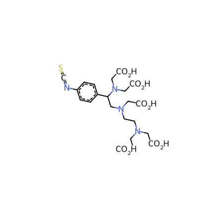 O=C(O)CN(CCN(CC(=O)O)CC(c1ccc(N=C=S)cc1)N(CC(=O)O)CC(=O)O)CC(=O)O